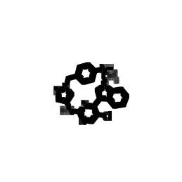 Cn1cc(-c2nc(Nc3cnn(Cc4ccc(N)cc4)c3)ncc2Cl)c2ccccc21